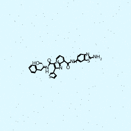 Nc1nc2ccc(CNC(=O)c3cccn4c(C(=O)N[C@@H](CO)Cc5ccccc5)c(-c5ccsc5)nc34)cc2s1